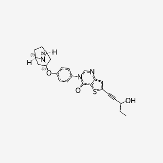 CCC(O)C#Cc1cc2ncn(-c3ccc(O[C@H]4C[C@H]5CC[C@@H](C4)N5C)cc3)c(=O)c2s1